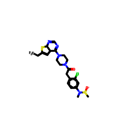 CN(c1ccc(CC(=O)N2CCN(C3=NC=NC4SC(CC(F)(F)F)=CC34)CC2)c(Cl)c1)[S+](C)[O-]